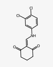 O=C1CCCC(=O)C1=CNc1ccc(Cl)c(Cl)c1